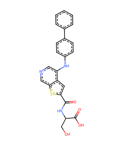 O=C(NC(CO)C(=O)O)c1cc2c(Nc3ccc(-c4ccccc4)cc3)cncc2s1